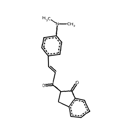 CN(C)c1ccc(/C=C/C(=O)C2Cc3ccccc3C2=O)cc1